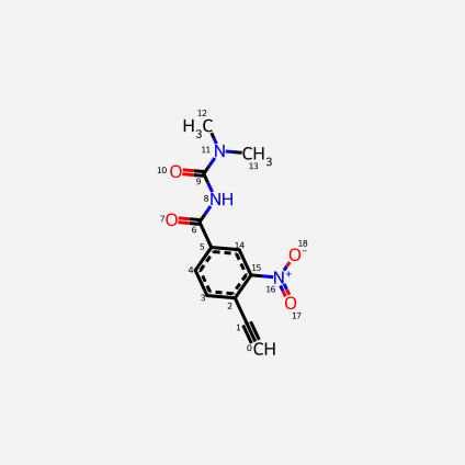 C#Cc1ccc(C(=O)NC(=O)N(C)C)cc1[N+](=O)[O-]